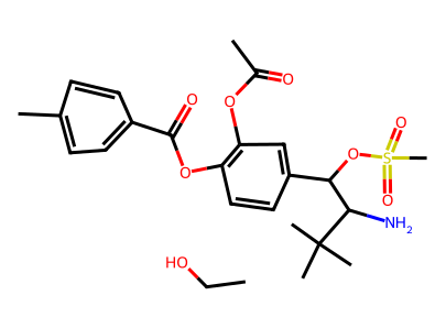 CC(=O)Oc1cc(C(OS(C)(=O)=O)C(N)C(C)(C)C)ccc1OC(=O)c1ccc(C)cc1.CCO